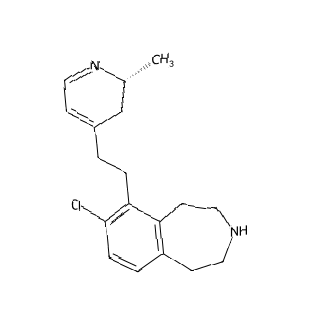 C[C@@H]1CC(CCc2c(Cl)ccc3c2CCNCC3)=CC=N1